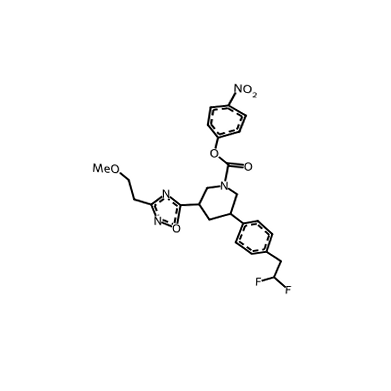 COCCc1noc(C2CC(c3ccc(CC(F)F)cc3)CN(C(=O)Oc3ccc([N+](=O)[O-])cc3)C2)n1